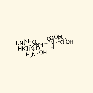 CC(O)C(N)C(=O)NC(CC1=CCNC1C(=N)N)C(=O)NCCCCC(=O)NC(Cc1ccc(CO)o1)C(=O)O